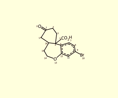 O=C1CCC2(C(=O)O)c3ccc(Br)cc3OCCC2C1